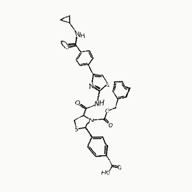 O=C(O)c1ccc(C2SCC(C(=O)Nc3nc(-c4ccc(C(=O)NC5CC5)cc4)cs3)N2C(=O)OCc2ccccc2)cc1